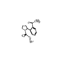 COC(=O)c1ccccc1C1CCCN1C(=O)OC(C)(C)C